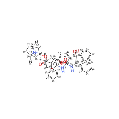 O=C(NC1CCC(CCN2[C@@H]3CC[C@H]2CC(OC(=O)C(CO)c2ccccc2)C3)CC1)N[C@@H](c1ccccc1)C(O)(c1ccccc1)c1ccccc1